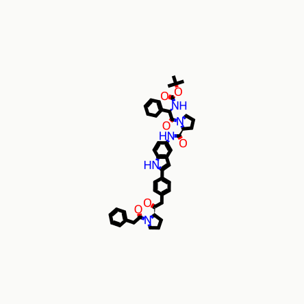 CC(C)(C)OC(=O)N[C@@H](C(=O)N1CCC[C@H]1C(=O)Nc1ccc2[nH]c(-c3ccc(CC(=O)[C@@H]4CCCN4C(=O)Cc4ccccc4)cc3)cc2c1)C1=CC=CCC1